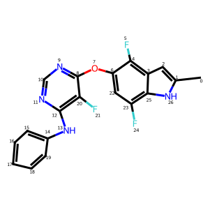 Cc1cc2c(F)c(Oc3ncnc(Nc4ccccc4)c3F)cc(F)c2[nH]1